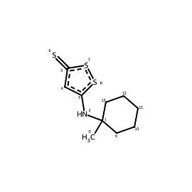 CC1(Nc2cc(=S)ss2)CCCCC1